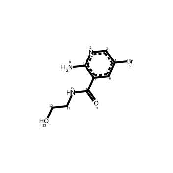 Nc1ncc(Br)cc1C(=O)NCCO